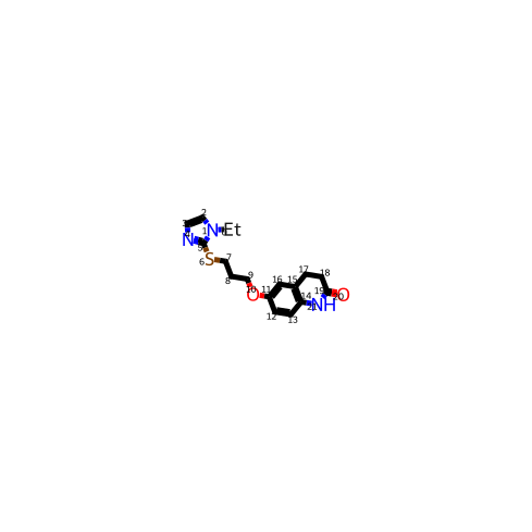 CCn1ccnc1SCCCOc1ccc2c(c1)CCC(=O)N2